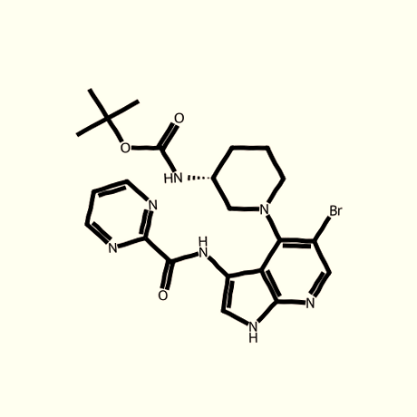 CC(C)(C)OC(=O)N[C@@H]1CCCN(c2c(Br)cnc3[nH]cc(NC(=O)c4ncccn4)c23)C1